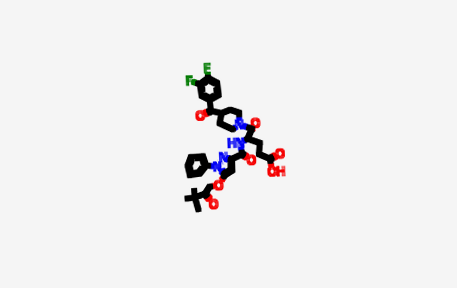 CC(C)(C)C(=O)COc1cc(C(=O)NC(CCC(=O)O)C(=O)N2CCC(C(=O)c3ccc(F)c(F)c3)CC2)nn1-c1ccccc1